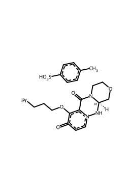 CC(C)CCCOc1c2n(ccc1=O)N[C@@H]1COCCN1C2=O.Cc1ccc(S(=O)(=O)O)cc1